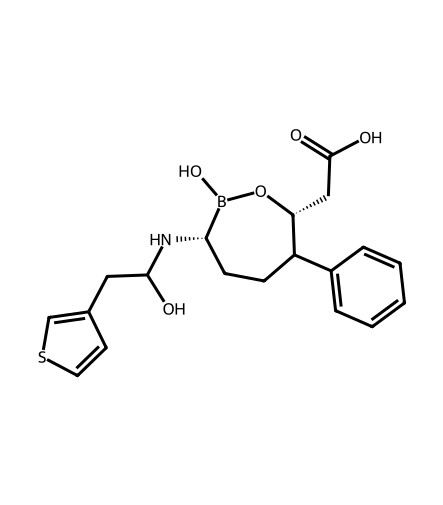 O=C(O)C[C@H]1OB(O)[C@@H](NC(O)Cc2ccsc2)CCC1c1ccccc1